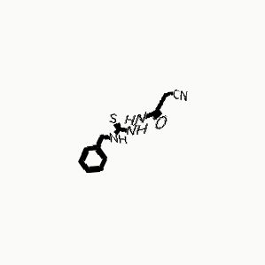 N#CCC(=O)NNC(=S)NCc1ccccc1